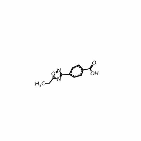 CCc1nc(-c2ccc(C(=O)O)cc2)no1